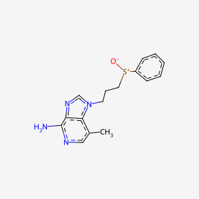 Cc1cnc(N)c2ncn(CCC[S+]([O-])c3ccccc3)c12